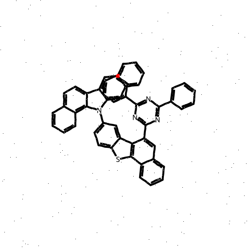 c1ccc(-c2nc(-c3ccccc3)nc(-c3cc4ccccc4c4sc5ccc(-n6c7cc8ccccc8cc7c7ccc8ccccc8c76)cc5c34)n2)cc1